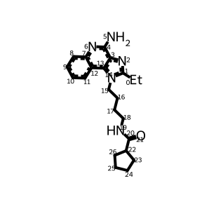 CCc1nc2c(N)nc3ccccc3c2n1CCCCNC(=O)C1CCCC1